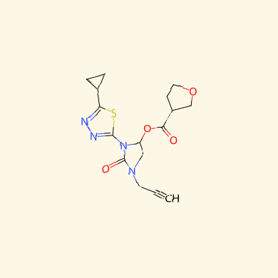 C#CCN1CC(OC(=O)C2CCOC2)N(c2nnc(C3CC3)s2)C1=O